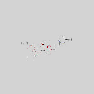 CCCC(=O)OCC[C@@H](OC(=O)CCC)[C@H](OC(=O)CCC)[C@H](C)OC(=O)CCCN1CCCC(CC)C1C